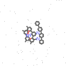 Cc1ccc(-c2cc(-n3c4cc(-c5ccccc5)ccc4c4ccc(-c5ccccc5)cc43)cc(-c3ccc(C)cc3C#N)c2-n2c3ccc(C)cc3c3cc(C)ccc32)c(C#N)c1